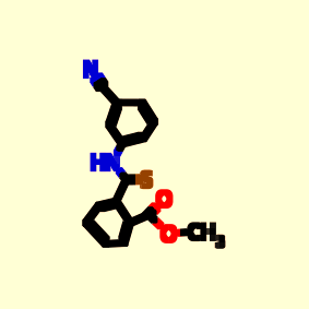 COC(=O)c1ccccc1C(=S)Nc1cccc(C#N)c1